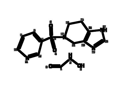 O=CNO.O=S(=O)(c1cccnc1)N1CCc2[nH]cnc2C1